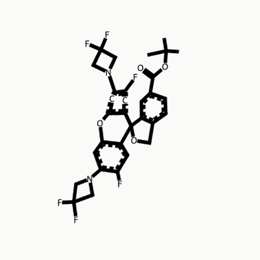 CC(C)(C)OC(=O)c1ccc2c(c1)C1(OC2)c2cc(F)c(N3CC(F)(F)C3)cc2Oc2cc(N3CC(F)(F)C3)c(F)cc21